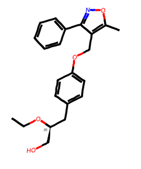 CCO[C@H](CO)Cc1ccc(OCc2c(-c3ccccc3)noc2C)cc1